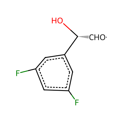 O=[C][C@@H](O)c1cc(F)cc(F)c1